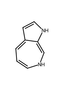 C1=CNC=c2[nH]ccc2=C1